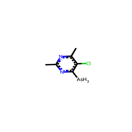 Cc1nc(C)c(Cl)c([AsH2])n1